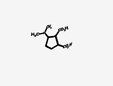 CN(C)C1CCC(C(=O)O)C1C(=O)O